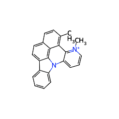 Cc1ccc2ccc3c4ccccc4n4c5ccc[n+](C)c5c1c2c34